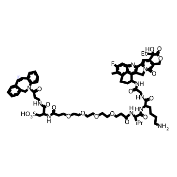 CCC1(O)C(=O)OCc2c1cc1n(c2=O)Cc2c-1nc1cc(F)c(C)c3c1c2C(NC(=O)CNC(=O)C(CCCCN)NC(=O)C(NC(=O)CCOCCOCCOCCOCCC(=O)NC(CS(=O)(=O)O)C(=O)NCCC(=O)N1Cc2ccccc2/C=C\c2ccccc21)C(C)C)CC3